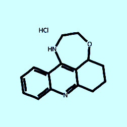 Cl.c1ccc2c3c4c(nc2c1)CCCC4OCCN3